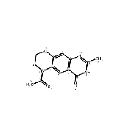 CC(=O)N1CCOc2cc3nc(C)[nH]c(=O)c3cc21